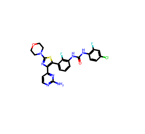 Nc1nccc(-c2nc(N3CCOCC3)sc2-c2cccc(NC(=O)Nc3ccc(Cl)cc3F)c2F)n1